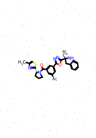 CC(=O)c1cc(C(=O)N2CCC[C@@H]2c2nc(C)cs2)cc(-c2nnc([C@@](C)(N)Cc3ccccc3)o2)c1